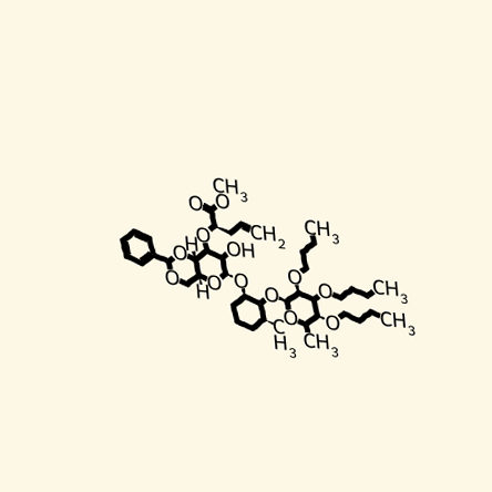 C=CC[C@@H](OC1C(O)[C@H](O[C@@H]2CCC[C@@H](C)C2O[C@@H]2OC(C)[C@@H](OCCCC)C(OCCCC)[C@@H]2OCCCC)O[C@H]2COC(c3ccccc3)O[C@H]12)C(=O)OC